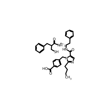 CCCCc1ncc(C(=O)N[C@H](CNC(=O)C(CS)Cc2ccccc2)Cc2ccccc2)n1Cc1ccc(C(=O)O)cc1